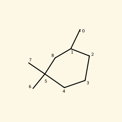 [CH2]C1CCCC(C)(C)C1